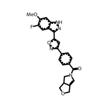 COc1cc2[nH]nc(-c3cc(-c4ccc(C(=O)N5C=C6COCC6C5)cc4)no3)c2cc1F